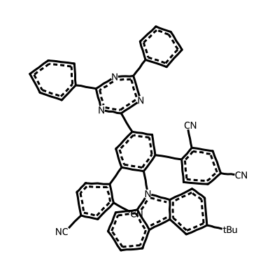 CC(C)(C)c1ccc2c(c1)c1ccccc1n2-c1c(-c2ccc(C#N)cc2C#N)cc(-c2nc(-c3ccccc3)nc(-c3ccccc3)n2)cc1-c1ccc(C#N)cc1C#N